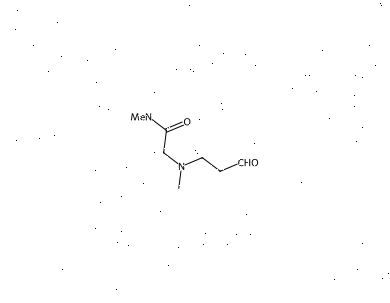 CNC(=O)CN(C)CCC=O